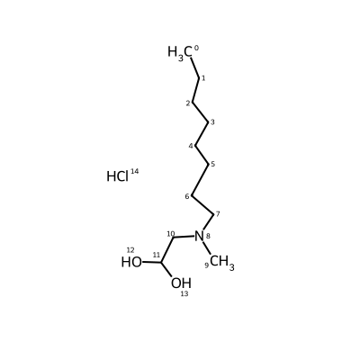 CCCCCCCCN(C)CC(O)O.Cl